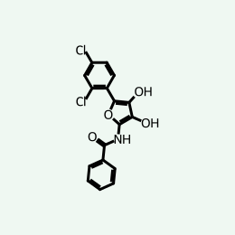 O=C(Nc1oc(-c2ccc(Cl)cc2Cl)c(O)c1O)c1ccccc1